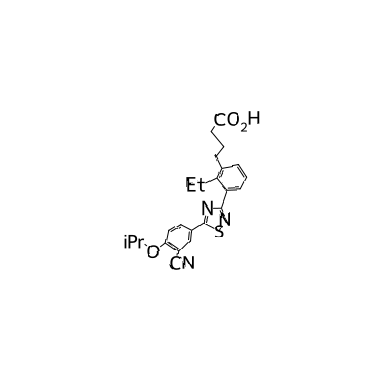 CCc1c(CCCC(=O)O)cccc1-c1nsc(-c2ccc(OC(C)C)c(C#N)c2)n1